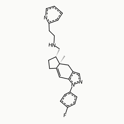 C[C@]12Cc3cnn(-c4ccc(F)cc4)c3C=C1CC[C@@H]2CNCCc1ccccn1